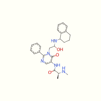 CN[C@@H](C)C(=O)Nc1cnc(-c2ccccc2)n(CC(O)NC2CCCc3ccccc32)c1=O